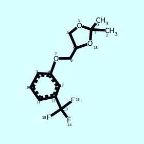 CC1(C)OCC(COc2cccc(C(F)(F)F)c2)O1